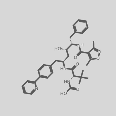 Cc1noc(C)c1C(=O)N[C@@H](Cc1ccccc1)[C@@H](O)C[C@H](Cc1ccc(-c2ccccn2)cc1)NC(=O)[C@@H](NC(=O)O)C(C)(C)C